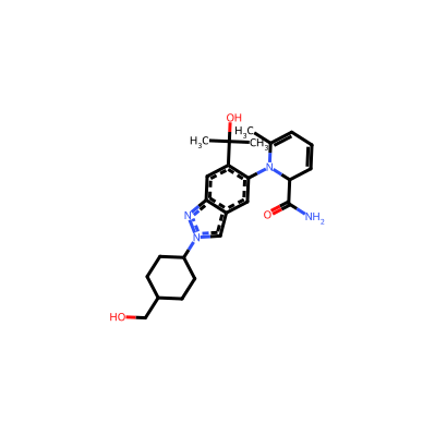 CC1=CC=CC(C(N)=O)N1c1cc2cn(C3CCC(CO)CC3)nc2cc1C(C)(C)O